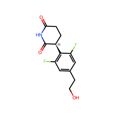 O=C1CC[C@@H](c2c(F)cc(CCO)cc2F)C(=O)N1